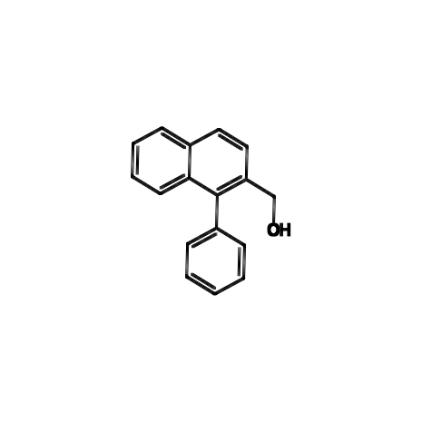 OCc1ccc2ccccc2c1-c1ccccc1